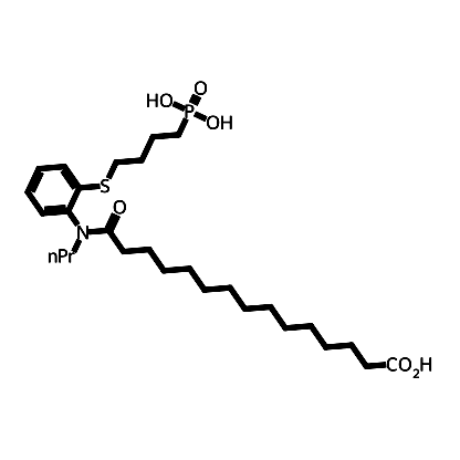 CCCN(C(=O)CCCCCCCCCCCCCC(=O)O)c1ccccc1SCCCCP(=O)(O)O